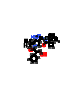 CC1(C)c2[nH]nc(NC(=O)C3([Si](C)(C)C)CCC3)c2CN1C(=O)C(CO)c1ccccc1